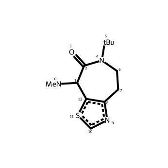 CNC1C(=O)N(C(C)(C)C)CCc2ncsc21